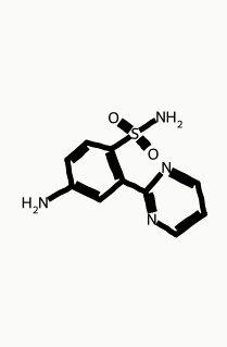 Nc1ccc(S(N)(=O)=O)c(-c2ncccn2)c1